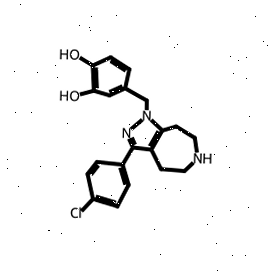 Oc1ccc(Cn2nc(-c3ccc(Cl)cc3)c3c2CCNCC3)cc1O